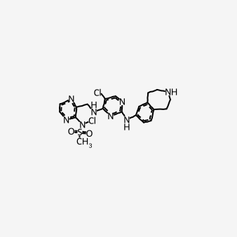 CS(=O)(=O)N(Cl)c1nccnc1CNc1nc(Nc2ccc3c(c2)CCNCC3)ncc1Cl